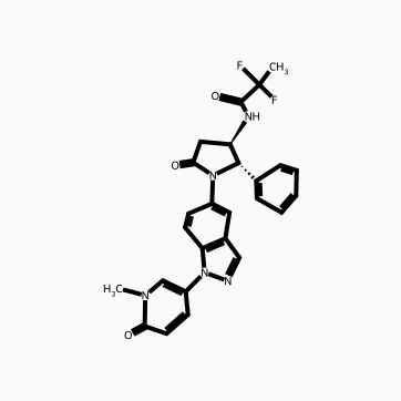 Cn1cc(-n2ncc3cc(N4C(=O)C[C@@H](NC(=O)C(C)(F)F)[C@@H]4c4ccccc4)ccc32)ccc1=O